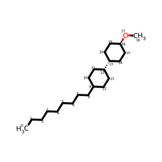 CCCCCCCCCC1CCC([C@H]2CC[C@H](OC)CC2)CC1